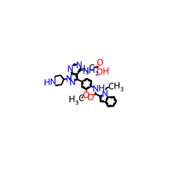 CC(=O)O.CCn1c(C(=O)Nc2ccc(-c3nn(C4CCNCC4)c4ncnc(N)c34)cc2OC)cc2ccccc21